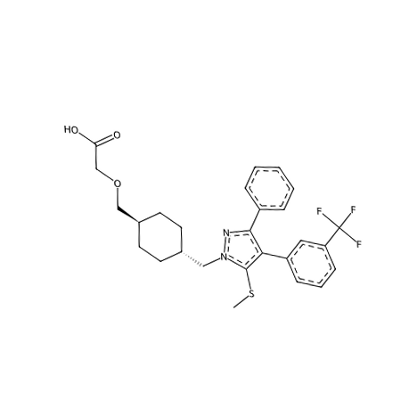 CSc1c(-c2cccc(C(F)(F)F)c2)c(-c2ccccc2)nn1C[C@H]1CC[C@H](COCC(=O)O)CC1